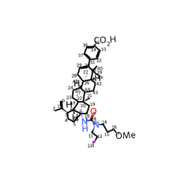 C=C(C)[C@@H]1CC[C@]2(NC(=O)N(CCI)CCCOC)CC[C@]3(C)[C@H](CC[C@@H]4[C@@]5(C)CC=C(c6ccc(C(=O)O)cc6)C(C)(C)[C@@H]5CC[C@]43C)[C@@H]12